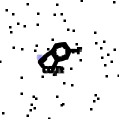 CCOC(=O)/C=C\c1ccc(F)cc1C